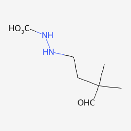 CC(C)(C=O)CCNNC(=O)O